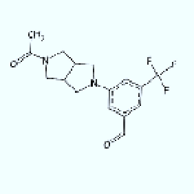 CC(=O)N1CC2CN(c3cc(C=O)cc(C(F)(F)F)c3)CC2C1